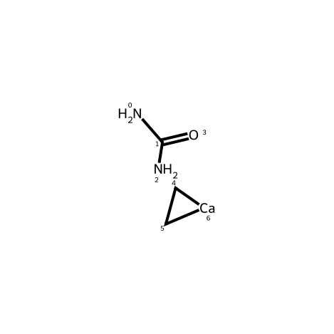 NC(N)=O.[CH2]1[CH2][Ca]1